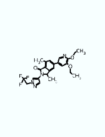 CCOc1cc(-c2cc(C)c3c(c2)C(C)N(c2cnn(CC(F)(F)F)c2)C3=O)cnc1OCC